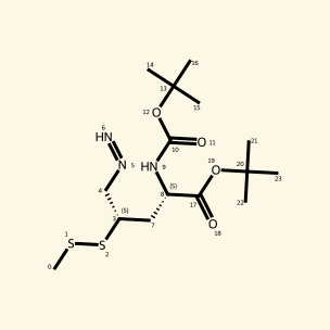 CSS[C@H](CN=N)C[C@H](NC(=O)OC(C)(C)C)C(=O)OC(C)(C)C